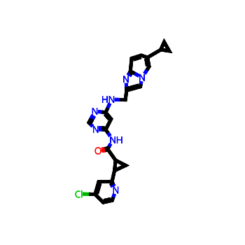 O=C(Nc1cc(NCc2cn3cc(C4CC4)ccc3n2)ncn1)C1CC1c1cc(Cl)ccn1